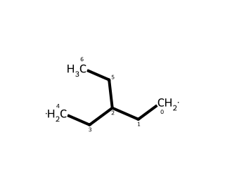 [CH2]CC(C[CH2])CC